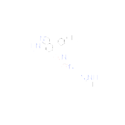 CC(=N)N1CCC(CNC(=O)C(C2CCCCC2)N(CC(Cc2ccc3c(N)nccc3c2)c2cccc(C(F)(F)F)c2)C(=O)C(F)(F)F)CC1